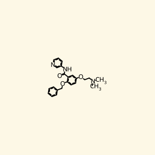 CN(C)CCOc1ccc(OCc2ccccc2)c(C(=O)Nc2cccnc2)c1